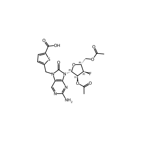 CC(=O)OC[C@H]1O[C@@H](n2c(=O)n(Cc3ccc(C(=O)O)s3)c3cnc(N)nc32)[C@H](OC(C)=O)[C@@H]1F